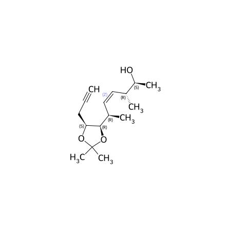 C#CC[C@@H]1OC(C)(C)O[C@@H]1[C@H](C)/C=C\[C@@H](C)[C@H](C)O